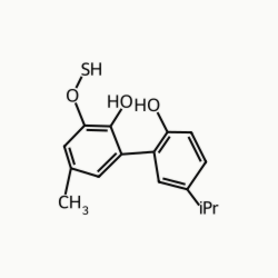 Cc1cc(OS)c(O)c(-c2cc(C(C)C)ccc2O)c1